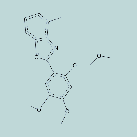 COCOc1cc(OC)c(OC)cc1-c1nc2c(C)cccc2o1